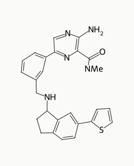 CNC(=O)c1nc(-c2cccc(CNC3CCc4ccc(-c5cccs5)cc43)c2)cnc1N